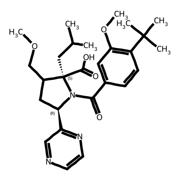 COCC1C[C@H](c2cnccn2)N(C(=O)c2ccc(C(C)(C)C)c(OC)c2)[C@]1(CC(C)C)C(=O)O